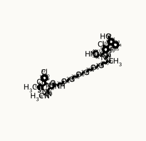 Cc1sc2c(c1C)C(c1ccc(Cl)cc1)=NC(CC(=O)NCCOCCOCCOCCOCCOCCOCCN(C)c1nc(N3CCNCC3)c3cc(Cl)c(-c4cc(O)cc5ccccc45)c(F)c3n1)c1nnc(C)n1-2